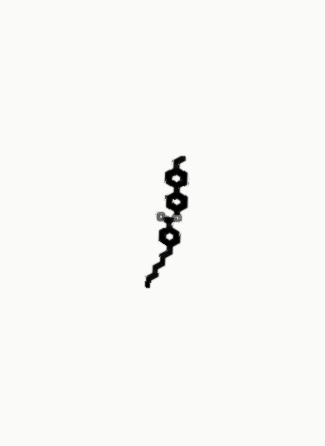 CCCCCCCc1ccc(C(=O)Oc2ccc(-c3ccc(CC)cc3)cc2)cc1